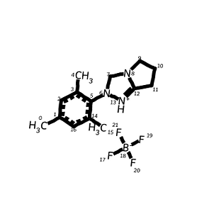 Cc1cc(C)c(N2CN3CCCC3=[NH+]2)c(C)c1.F[B-](F)(F)F